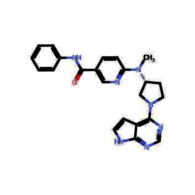 CN(c1ccc(C(=O)Nc2ccccc2)cn1)[C@@H]1CCN(c2ncnc3[nH]ccc23)C1